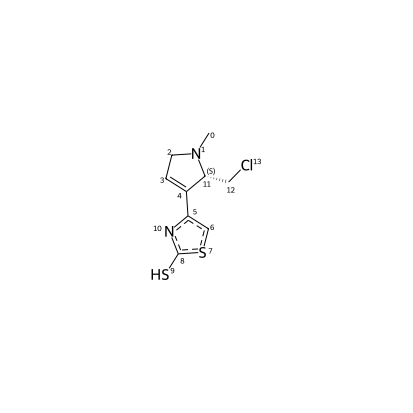 CN1CC=C(c2csc(S)n2)[C@H]1CCl